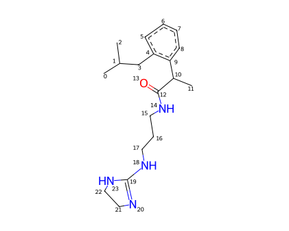 CC(C)Cc1ccccc1C(C)C(=O)NCCCNC1=NCCN1